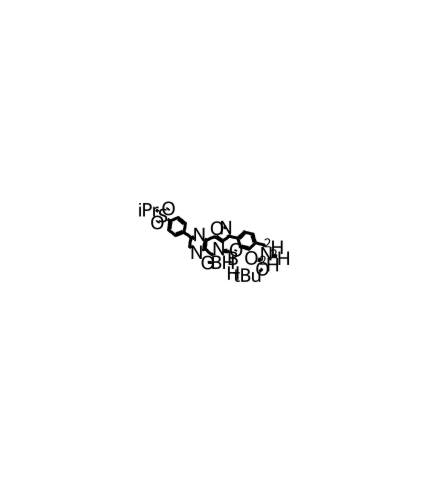 [2H]C([2H])([2H])N(Cc1ccc(-c2cc(-c3nc(-c4ccc(S(=O)(=O)C(C)C)cc4)cnc3C3(/N=C4\BO4)BO3)on2)cc1)C(=O)OC(C)(C)C